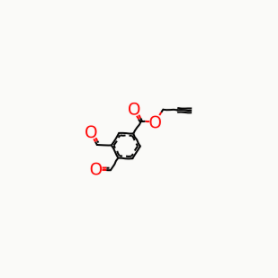 C#CCOC(=O)c1ccc(C=O)c(C=O)c1